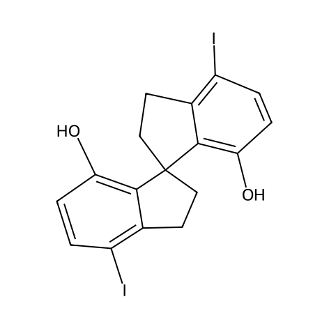 Oc1ccc(I)c2c1C1(CC2)CCc2c(I)ccc(O)c21